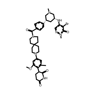 COc1cc(N2CCC3(CCN(C(=O)c4ccc([C@H]5C[C@@H](Nc6cnn(C)c(=O)c6Br)CN(C)C5)cc4)CC3)CC2)cc(C)c1C1CCC(=O)NC1=O